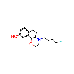 Oc1ccc2c(c1)C1OCCN(CCCCF)C1CC2